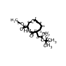 CCOC(=O)C1CCCCCCC(CC(=O)OC(C)(C)C)C(=O)N1